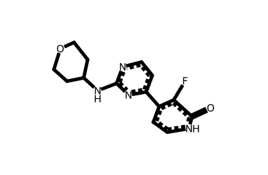 O=c1[nH]ccc(-c2ccnc(NC3CCOCC3)n2)c1F